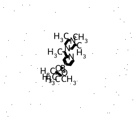 CC1CN([C@@H](C)c2cc(B3OC(C)(C)C(C)(C)O3)ccn2)CC(C)N1C